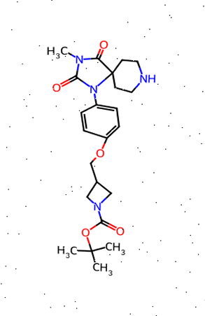 CN1C(=O)N(c2ccc(OCC3CN(C(=O)OC(C)(C)C)C3)cc2)C2(CCNCC2)C1=O